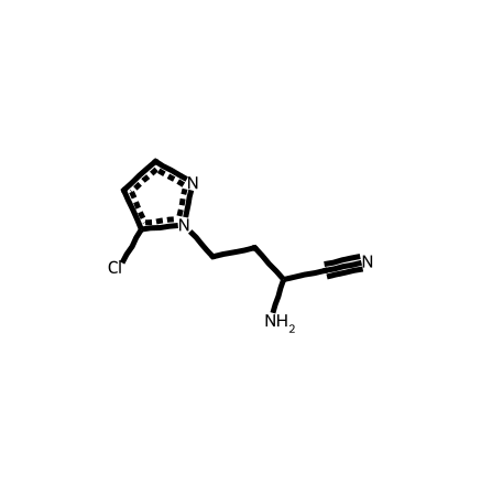 N#CC(N)CCn1nccc1Cl